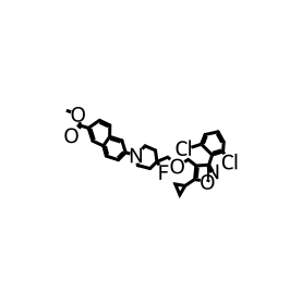 COC(=O)c1ccc2cc(N3CCC(F)(COCc4c(-c5c(Cl)cccc5Cl)noc4C4CC4)CC3)ccc2c1